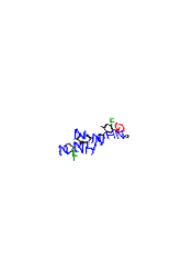 Cc1cc(F)c(C(=O)NC2CC2)cc1-c1cnn(-c2cncc(N[C@@H]3CCN(C)C[C@@H]3F)c2)c1